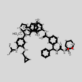 O=C(NC(c1ccccc1)c1cccc(C(=O)Oc2cccc(CN3CCS[C@]3(C(=O)O)[C@@H](Cc3c(Cl)c[n+]([O-])cc3Cl)c3ccc(OC(F)F)c(OCC4CC4)c3)c2)c1)O[C@H]1CN2CCC1CC2